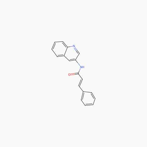 O=C(C=Cc1ccccc1)Nc1cnc2ccccc2c1